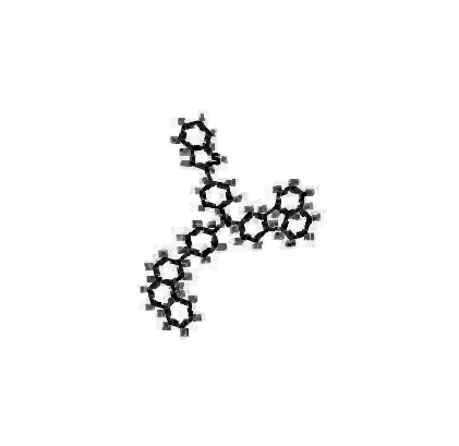 c1ccc2sc(-c3ccc(N(c4ccc(-c5ccc6ccc7ccccc7c6c5)cc4)c4ccc5c(c4)-c4cccc6cccc-5c46)cc3)cc2c1